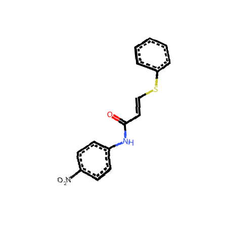 O=C(C=CSc1ccccc1)Nc1ccc([N+](=O)[O-])cc1